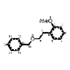 COc1ccccc1CCOCc1ccccc1